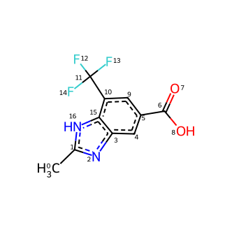 Cc1nc2cc(C(=O)O)cc(C(F)(F)F)c2[nH]1